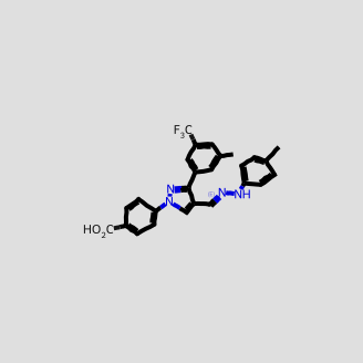 Cc1ccc(N/N=C/c2cn(-c3ccc(C(=O)O)cc3)nc2-c2cc(C)cc(C(F)(F)F)c2)cc1